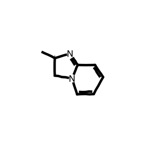 C[C]1CN2C=CC=CC2=N1